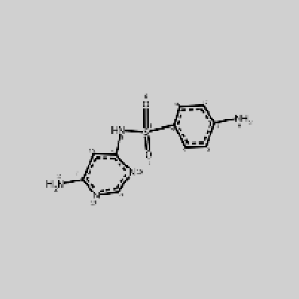 Nc1ccc(S(=O)(=O)Nc2cc(N)ncn2)cc1